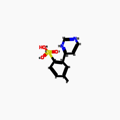 Cc1ccc(S(=O)(=O)O)c(-c2ccncn2)c1